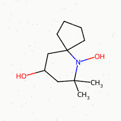 CC1(C)CC(O)CC2(CCCC2)N1O